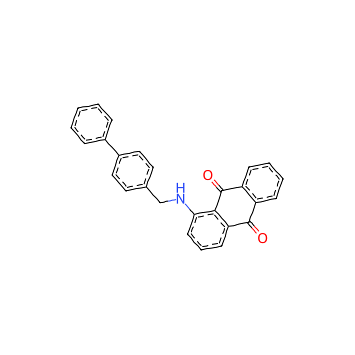 O=C1c2ccccc2C(=O)c2c(NCc3ccc(-c4ccccc4)cc3)cccc21